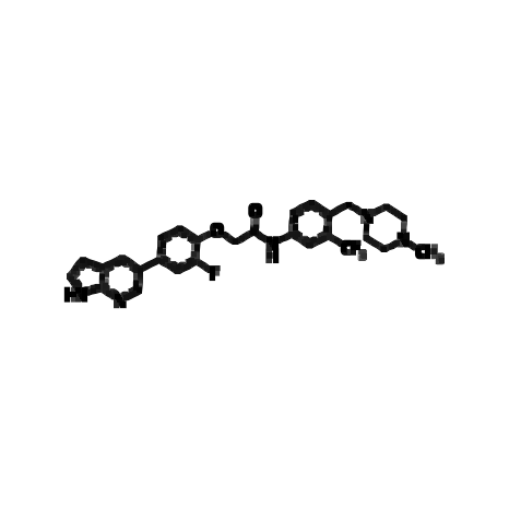 CN1CCN(Cc2ccc(NC(=O)COc3ccc(-c4cnc5[nH]ccc5c4)cc3F)cc2C(F)(F)F)CC1